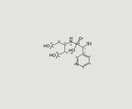 CCC(c1cccnc1)P(=O)(O)NC(CC(=O)O)CC(=O)O